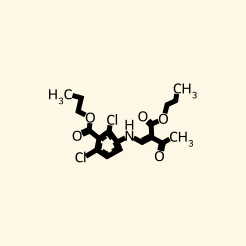 CCCOC(=O)C(=CNc1ccc(Cl)c(C(=O)OCCC)c1Cl)C(C)=O